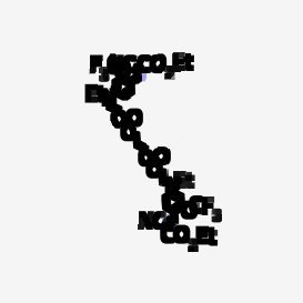 CCOC(=O)/C(C#N)=C/c1ccc(N(CC)CCOC(=O)OCCCOC(=O)OCCN(CC)c2ccc(/C=C(\C#N)C(=O)OCC)c(OC(F)(F)F)c2)cc1OC(F)(F)F